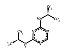 C[C@@H](Nc1ncnc(N[C@H](C)C(F)(F)F)n1)C(F)(F)F